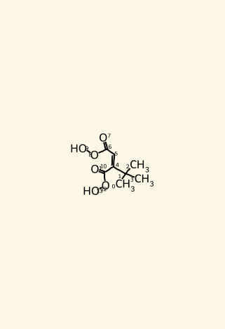 CC(C)(C)C(=CC(=O)OO)C(=O)OO